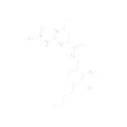 Cc1cc(C(=O)NCC2=CC=C(CCCF)C(C)C2N)nc(NC(=O)C(C)C)n1